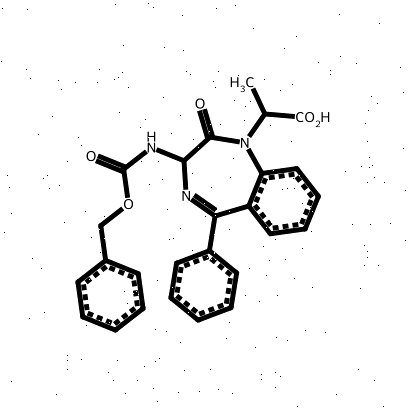 CC(C(=O)O)N1C(=O)C(NC(=O)OCc2ccccc2)N=C(c2ccccc2)c2ccccc21